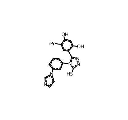 CC(C)c1cc(-c2nnc(S)n2-c2cccc(-n3ccnc3)c2)c(O)cc1O